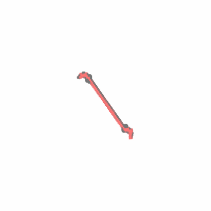 CC(C)CCC[C@@H](C)[C@H]1CCC2C3CC=C4CC(OC(=O)CCCCCCCCCCCCCCCCCCCCCCCCCCCCCCCCCCCCCCCCCCCCCCCCCCCCCCCCCCCCCCCCSSC(=O)OC5CC[C@@]6(C)C(=CCC7C6CC[C@@]6(C)C7CC[C@@H]6[C@H](C)CCCC(C)C)C5)CC[C@]4(C)C3CC[C@@]21C